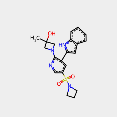 CC1(O)CN(c2ncc(S(=O)(=O)N3CCC3)cc2-c2cc3ccccc3[nH]2)C1